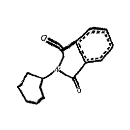 O=C1c2ccccc2C(=O)N1C1CCCC1